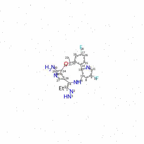 CC/C(N=N)=C1/NCc2cc(F)cnc2-c2ccc(F)cc2C(C)Oc2cc1cnc2N